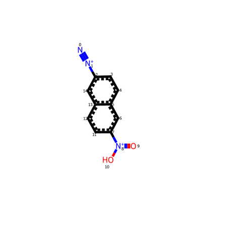 N#[N+]c1ccc2cc([N+](=O)O)ccc2c1